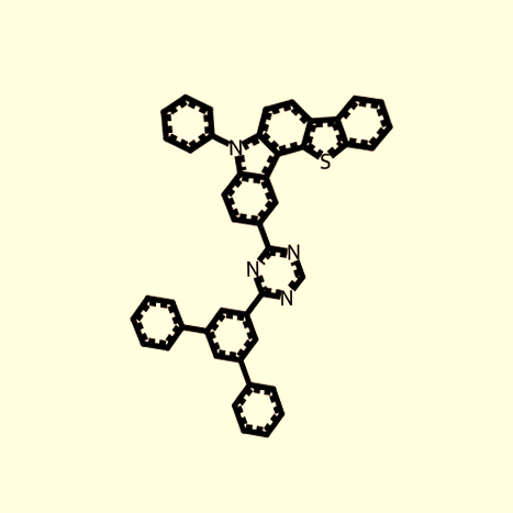 c1ccc(-c2cc(-c3ccccc3)cc(-c3ncnc(-c4ccc5c(c4)c4c6sc7ccccc7c6ccc4n5-c4ccccc4)n3)c2)cc1